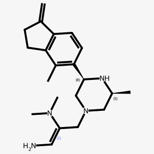 C=C1CCc2c1ccc([C@@H]1CN(C/C(=C/N)N(C)C)C[C@H](C)N1)c2C